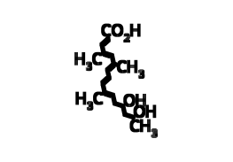 CC(=CC=CC(C)=CC[C@@H](O)C[C@@H](C)O)C=C(C)C=CC(=O)O